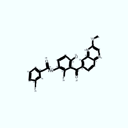 COc1cnc2ccc(C(=O)c3c(Cl)ccc(NC(=O)c4cccc(F)c4)c3F)cc2n1